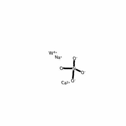 [Ca+2].[Na+].[O-][Si]([O-])([O-])[O-].[W+4]